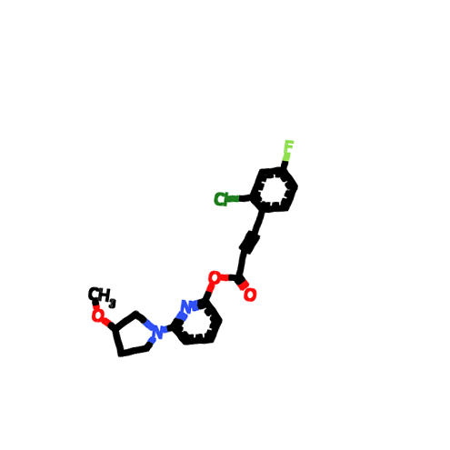 COC1CCN(c2cccc(OC(=O)C#Cc3ccc(F)cc3Cl)n2)C1